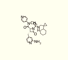 CN(C(=O)[C@@H]1[C@@H](Cc2ccnc(N)c2)C(=O)N1C(=O)NCC1(C2CCCCC2)CC1)c1ccncc1